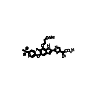 CCC(C(=O)O)C1CN=C(c2cc3cc(Oc4ccc(S(C)(=O)=O)nc4)c(F)c(OCCOC)c3[nH]2)S1